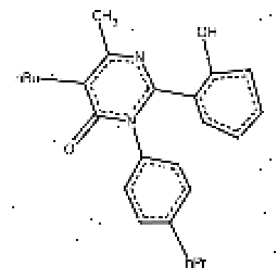 CCCCc1c(C)nc(-c2ccccc2O)n(-c2ccc(CCC)cc2)c1=O